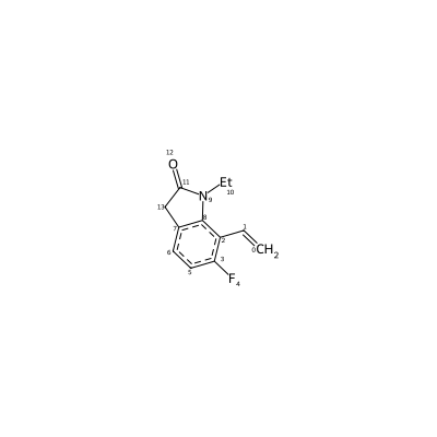 C=Cc1c(F)ccc2c1N(CC)C(=O)C2